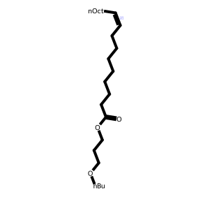 CCCCCCCC/C=C\CCCCCCCC(=O)OCCCOCCCC